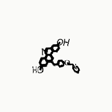 Oc1ccc2c(cnc3c4ccc(O)cc4c(Cc4ccc(OCCN5CCCCC5)cc4)cc23)c1